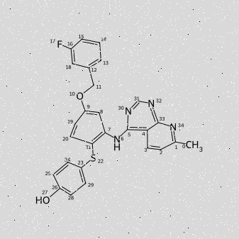 Cc1ccc2c(Nc3cc(OCc4cccc(F)c4)ccc3Sc3ccc(O)cc3)ncnc2n1